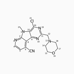 Cn1c2nccc(C#N)c2c2nc(CN3CCOCC3)nc(Cl)c21